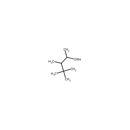 COC(C)C(C)C(C)(C)C